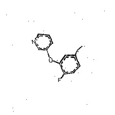 [CH2]c1ccc(F)c(Oc2cccnc2)c1